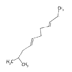 C[CH]C=CCCC=CCC(C)C